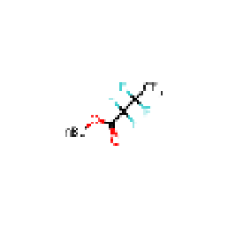 CCCCOC(=O)C(F)(F)C(F)(F)C(F)(F)F